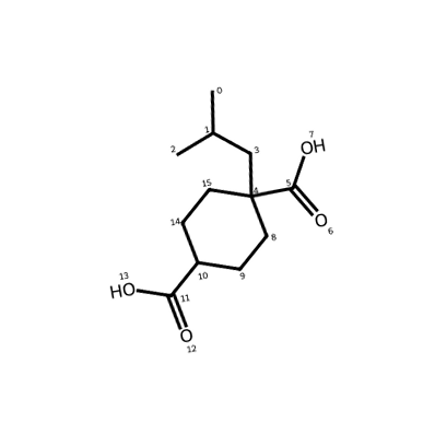 CC(C)CC1(C(=O)O)CCC(C(=O)O)CC1